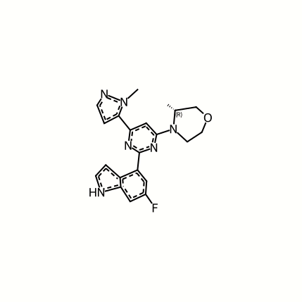 C[C@@H]1COCCN1c1cc(-c2ccnn2C)nc(-c2cc(F)cc3[nH]ccc23)n1